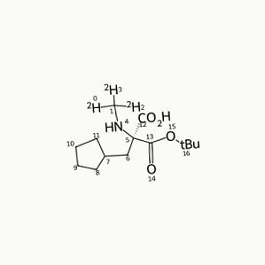 [2H]C([2H])([2H])N[C@@](CC1CCCC1)(C(=O)O)C(=O)OC(C)(C)C